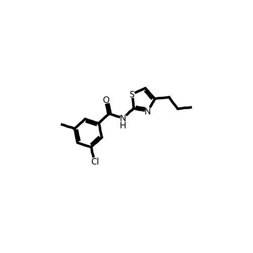 CCCc1csc(NC(=O)c2cc(C)cc(Cl)c2)n1